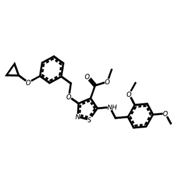 COC(=O)c1c(OCc2cccc(OC3CC3)c2)nsc1NCc1ccc(OC)cc1OC